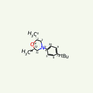 C[C@@H]1CN(c2ccc(C(C)(C)C)cc2)C[C@@H](C)O1